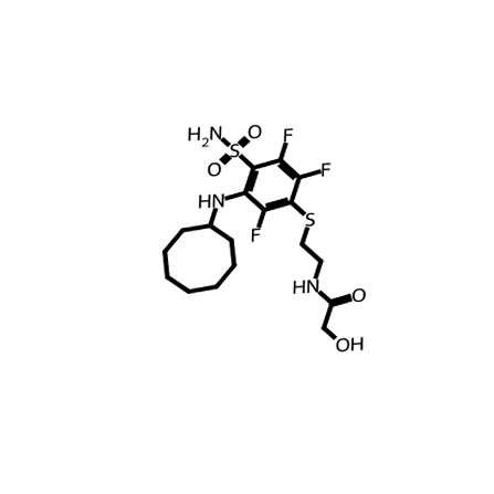 NS(=O)(=O)c1c(F)c(F)c(SCCNC(=O)CO)c(F)c1NC1CCCCCCC1